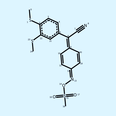 CSc1ccc(C(C#N)=C2C=CC(=NOS(C)(=O)=O)C=C2)cc1SC